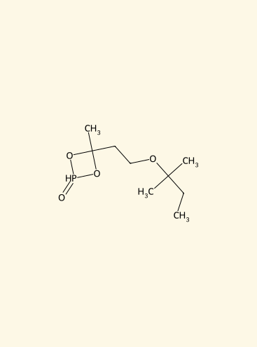 CCC(C)(C)OCCC1(C)O[PH](=O)O1